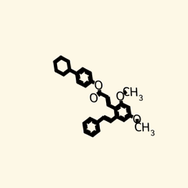 COc1cc(/C=C/c2ccccc2)c(/C=C/C(=O)Oc2ccc(C3CCCCC3)cc2)c(OC)c1